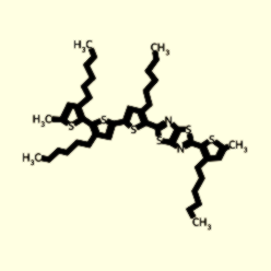 CCCCCCc1cc(C)sc1-c1nc2sc(-c3sc(-c4cc(CCCCCC)c(-c5sc(C)cc5CCCCCC)s4)cc3CCCCCC)nc2s1